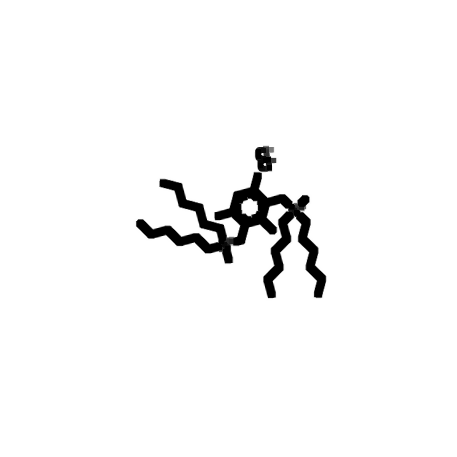 CCCCCC[N+](C)(CCCCCC)Cc1c(C)cc(C)c(C[N+](C)(CCCCCC)CCCCCC)c1C.[Cl-].[Cl-]